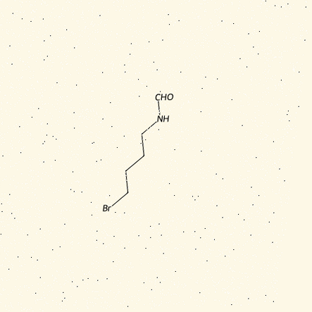 O=CNCCCCBr